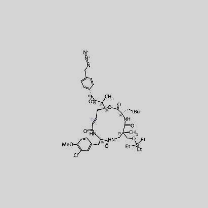 CC[Si](CC)(CC)OC[C@]1(C)CNC(=O)[C@@H](Cc2ccc(OC)c(Cl)c2)NC(=O)/C=C/C[C@@H]([C@H](C)[C@H]2O[C@@H]2c2ccc(CN=[N+]=[N-])cc2)OC(=O)[C@H](CC(C)(C)C)NC1=O